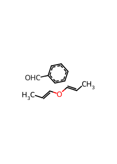 CC=COC=CC.O=Cc1ccccc1